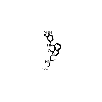 O=C(Cn1ccc2cccc(Nc3ccc4[nH]ncc4c3)c2c1=O)NCC(F)(F)F